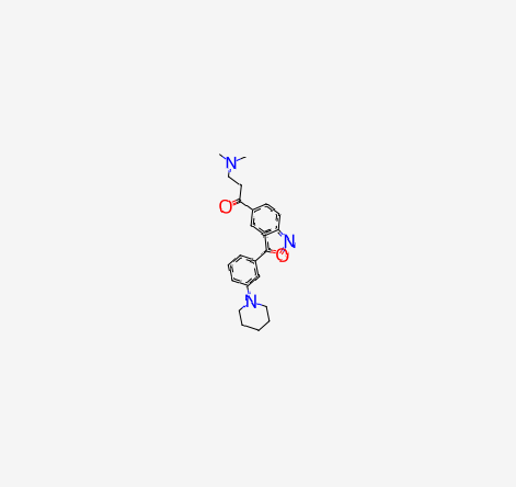 CN(C)CCC(=O)c1ccc2noc(-c3cccc(N4CCCCC4)c3)c2c1